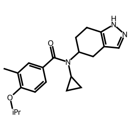 Cc1cc(C(=O)N(C2CC2)C2CCc3[nH]ncc3C2)ccc1OC(C)C